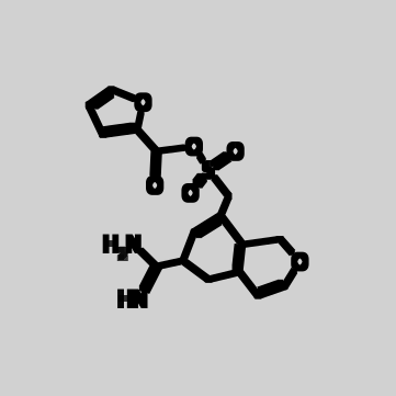 N=C(N)C1C=C(CS(=O)(=O)OC(=O)c2ccco2)C2=C(C=COC2)C1